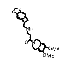 COc1cc2c(cc1OC)CCN(C(=O)CCNCC1Cc3cc4c(cc31)OCO4)CC2